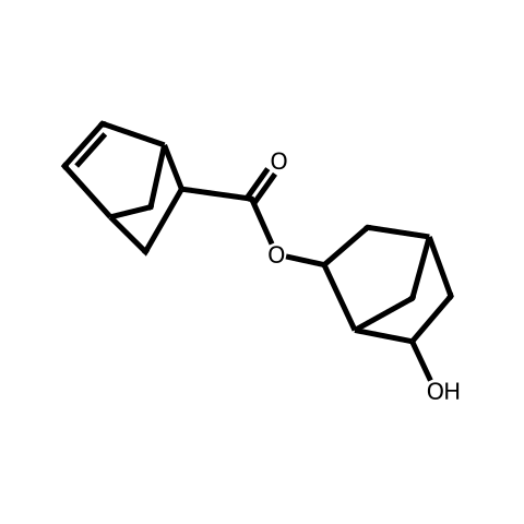 O=C(OC1CC2CC(O)C1C2)C1CC2C=CC1C2